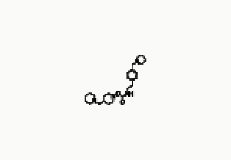 O=C(NCCc1ccc(CN2CCCC2)cc1)ON1CCC(CN2CCCCC2)CC1